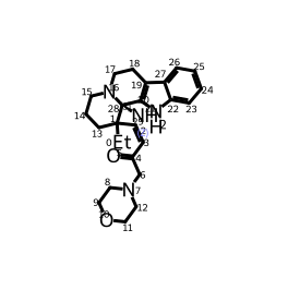 CCC1(/C=C\C(=O)CN2CCOCC2)CCCN2CCc3c([nH]c4ccccc34)[C@@]21N